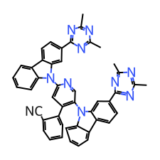 Cc1nc(C)nc(-c2ccc3c4ccccc4n(-c4cc(-c5ccccc5C#N)c(-n5c6ccccc6c6ccc(-c7nc(C)nc(C)n7)cc65)cn4)c3c2)n1